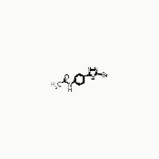 CC(=O)Nc1ccc(-c2nnc(Br)s2)cc1